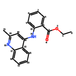 CCOC(=O)c1ccccc1Nc1cc(C)nc2ccccc12